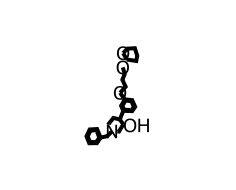 OC1CN(Cc2ccccc2)CCC1c1cccc(OCCCOC2CCCCO2)c1